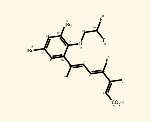 CC(=CC(=O)O)C(F)=CC=C(C)c1cc(C(C)(C)C)cc(C(C)(C)C)c1OCC(F)F